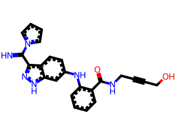 N=C(c1n[nH]c2cc(Nc3ccccc3C(=O)NCC#CCO)ccc12)n1cccc1